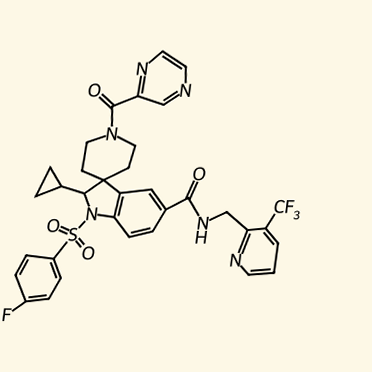 O=C(NCc1ncccc1C(F)(F)F)c1ccc2c(c1)C1(CCN(C(=O)c3cnccn3)CC1)C(C1CC1)N2S(=O)(=O)c1ccc(F)cc1